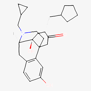 O=C1CC23CCN(CC4CC4)[C@H](Cc4ccc(O)cc42)[C@]3(O)C[C@@H]1CC1CCCC1